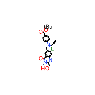 C#CCN(Cc1cc2c(=O)n(C)c(CO)nc2cc1Cl)c1ccc(C(=O)OC(C)(C)C)cc1